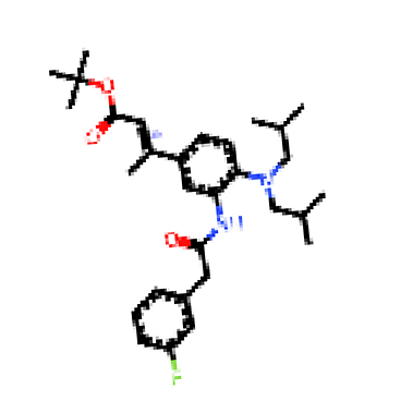 C/C(=C\C(=O)OC(C)(C)C)c1ccc(N(CC(C)C)CC(C)C)c(NC(=O)Cc2cccc(F)c2)c1